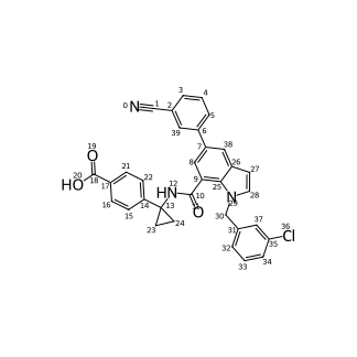 N#Cc1cccc(-c2cc(C(=O)NC3(c4ccc(C(=O)O)cc4)CC3)c3c(ccn3Cc3cccc(Cl)c3)c2)c1